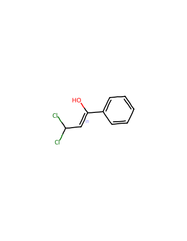 O/C(=C\C(Cl)Cl)c1ccccc1